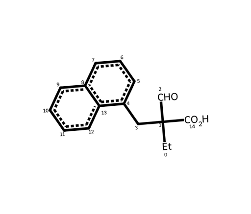 CCC(C=O)(Cc1cccc2ccccc12)C(=O)O